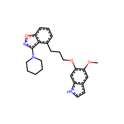 COc1cc2cc[nH]c2cc1OCCCc1cccc2onc(N3CCCCC3)c12